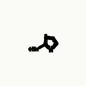 [SnH][c]1nccs1